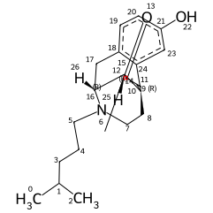 CC(C)CCCN1CC[C@]23CCC(=O)C[C@H]2[C@H]1Cc1ccc(O)cc13